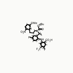 COc1ccc([N+](=O)[O-])c(CCCN(C(=O)OC(C)(C)C)C(C)c2cc(F)ccc2Nc2cc(C(F)(F)F)c(F)cc2C(=O)O)n1